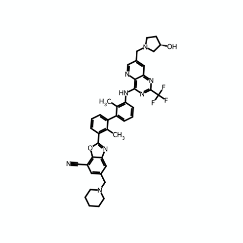 Cc1c(Nc2nc(C(F)(F)F)nc3cc(CN4CC[C@@H](O)C4)cnc23)cccc1-c1cccc(-c2nc3cc(CN4CCCCC4)cc(C#N)c3o2)c1C